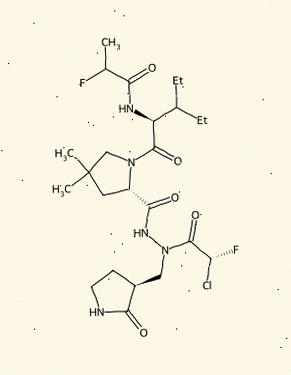 CCC(CC)[C@H](NC(=O)C(C)F)C(=O)N1CC(C)(C)C[C@H]1C(=O)NN(C[C@@H]1CCNC1=O)C(=O)[C@H](F)Cl